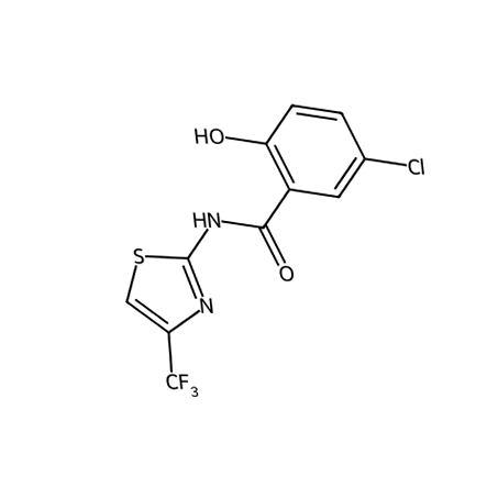 O=C(Nc1nc(C(F)(F)F)cs1)c1cc(Cl)ccc1O